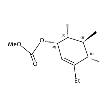 CCC1=C[C@H](OC(=O)OC)[C@H](C)[C@@H](C)[C@@H]1C